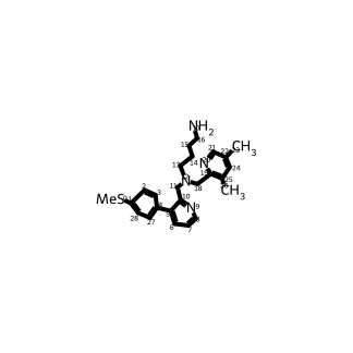 CSc1ccc(-c2cccnc2CN(CCCCN)Cc2ncc(C)cc2C)cc1